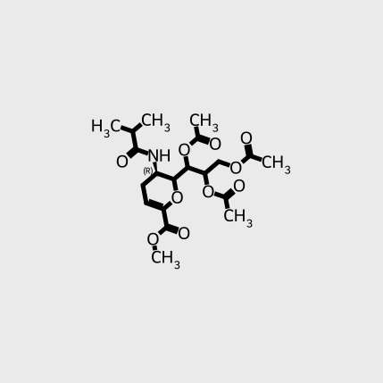 COC(=O)C1=CC[C@@H](NC(=O)C(C)C)C(C(OC(C)=O)C(COC(C)=O)OC(C)=O)O1